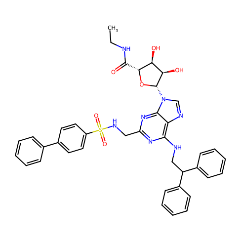 CCNC(=O)[C@H]1O[C@@H](n2cnc3c(NCC(c4ccccc4)c4ccccc4)nc(CNS(=O)(=O)c4ccc(-c5ccccc5)cc4)nc32)[C@H](O)[C@@H]1O